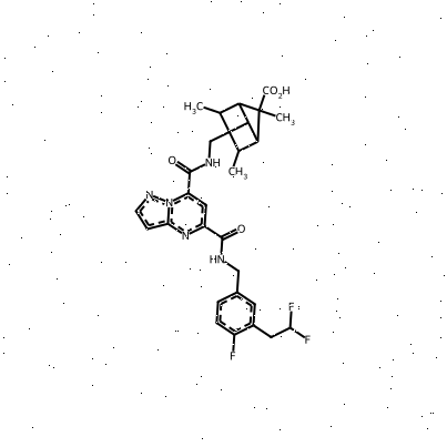 CC1C2C3C(C(C)C13CNC(=O)c1cc(C(=O)NCc3ccc(F)c(CC(F)F)c3)nc3ccnn13)C2(C)C(=O)O